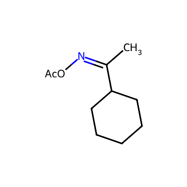 CC(=O)O/N=C(/C)C1CCCCC1